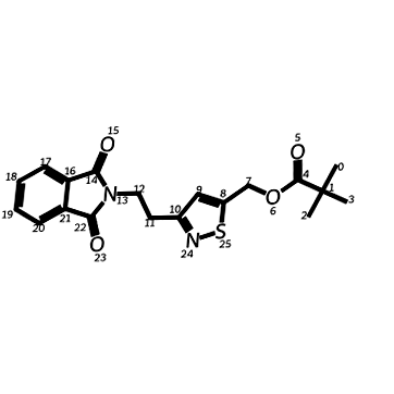 CC(C)(C)C(=O)OCc1cc(CCN2C(=O)c3ccccc3C2=O)ns1